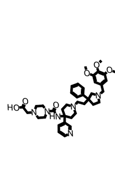 COc1cc(CN2CCC(CCN3CCC(NC(=O)N4CCN(CC(=O)O)CC4)(c4cccnc4)CC3)(c3ccccc3)C2)cc(OC)c1OC